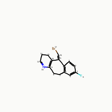 Fc1ccc2c(c1)CCC1=C(CCC=N1)/C2=C\Br